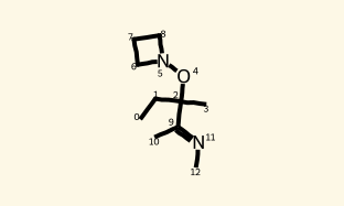 CCC(C)(ON1CCC1)C(C)=NC